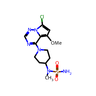 COc1cc(Cl)n2ncnc(N3CCC(N(C)S(N)(=O)=O)CC3)c12